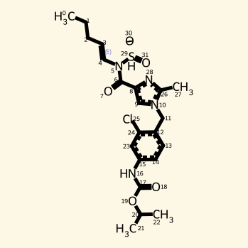 CCC/C=C/N(C(=O)c1cn(Cc2ccc(NC(=O)OC(C)C)cc2Cl)c(C)n1)[SH](=O)=O